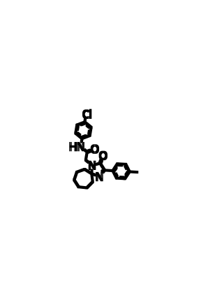 Cc1ccc(C2=NC3(CCCCCC3)N(CC(=O)Nc3ccc(Cl)cc3)C2=O)cc1